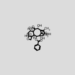 CC(=O)O[C@H]1C[C@H]2OC[C@@]2(O)[C@H]2[C@H](OC(=O)c3ccccc3)[C@]3(O)C[C@H](O)C(C)=C([C@@H](O)C(=O)[C@]12C)C3(C)C